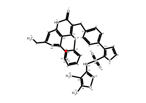 CCc1cc2[nH]c(=O)c(Cc3ccc(-c4ccsc4S(=O)(=O)Nc4noc(C)c4C)cc3)c(Sc3ccccc3)c2c(CC)n1